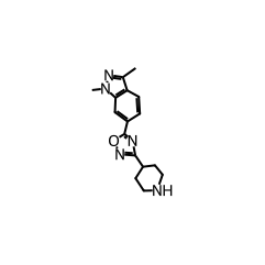 Cc1nn(C)c2cc(-c3nc(C4CCNCC4)no3)ccc12